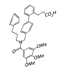 COc1cc(C(=O)N(CCCc2ccccc2)Cc2ccc(-c3ccccc3CCC(=O)O)cc2)cc(OC)c1OC